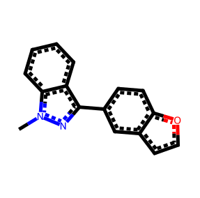 Cn1nc(-c2ccc3occc3c2)c2ccccc21